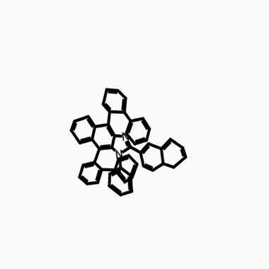 C1=CCC2C=CC(c3nc4c(-c5ccccc5-c5ccccc5)c5ccccc5c(-c5ccccc5-c5ccccc5)c4n3-c3ccccc3)=CC2=C1